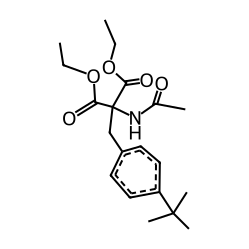 CCOC(=O)C(Cc1ccc(C(C)(C)C)cc1)(NC(C)=O)C(=O)OCC